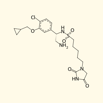 NC[C@@H](NS(=O)(=O)CCCCCN1CC(=O)NC1=O)c1ccc(Cl)c(OCC2CC2)c1